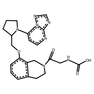 O=C(O)NCC(=O)N1CCc2cccc(OCC3CCCN3c3ccnc4ncnn34)c2C1